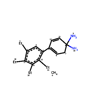 C.CCc1cc(C2=CCC(N)(N)C=C2)c(CC)c(CC)c1CC